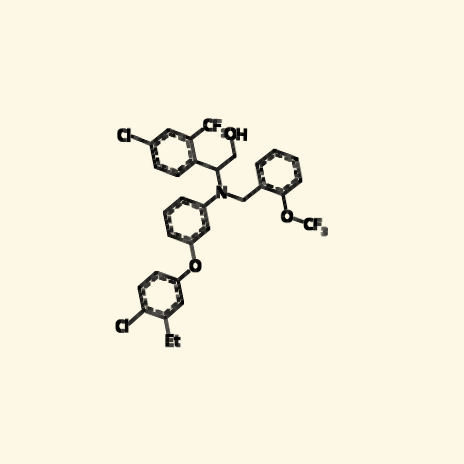 CCc1cc(Oc2cccc(N(Cc3ccccc3OC(F)(F)F)C(CO)c3ccc(Cl)cc3C(F)(F)F)c2)ccc1Cl